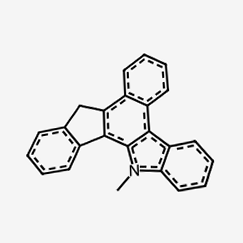 Cn1c2ccccc2c2c3ccccc3c3c(c21)-c1ccccc1C3